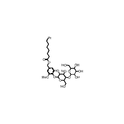 COc1cc(COC(=O)CCCCCCC(C)C)ccc1OC1OC(CO)C(OC2OC(CO)C(O)C(O)C2O)C(O)C1O